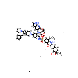 Cc1ccccc1[C@@H]1CCCN1C1CC2(CCN(c3ccc(C(=O)NS(=O)(=O)c4cc5c(c([N+](=O)[O-])c4)N[C@@H](CC4CCC(C)(O)CC4)CO5)c(N4c5cc6cc[nH]c6nc5O[C@@H]5COC[C@H]54)c3)CC2)C1